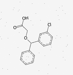 O=C(O)COC(c1ccccc1)c1cccc(Cl)c1